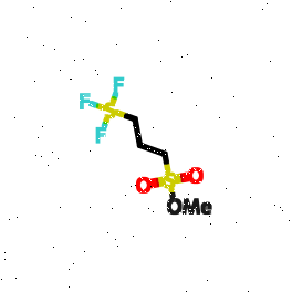 COS(=O)(=O)CCCS(F)(F)F